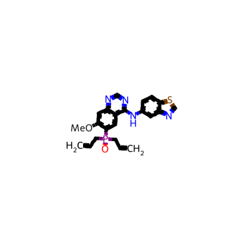 C=CCP(=O)(CC=C)c1cc2c(Nc3ccc4scnc4c3)ncnc2cc1OC